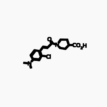 CN(C)c1ccc(/C=C/C(=O)N2CCC(C(=O)O)CC2)c(Cl)c1